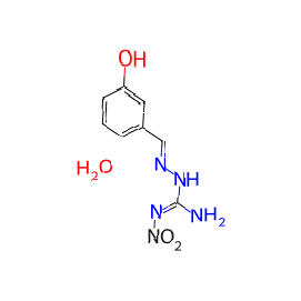 NC(=N[N+](=O)[O-])NN=Cc1cccc(O)c1.O